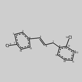 Clc1ccc(C=CCc2[c]ccnc2Cl)cc1